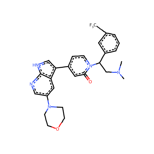 CN(C)CC(c1cccc(C(F)(F)F)c1)n1ccc(-c2c[nH]c3ncc(N4CCOCC4)cc23)cc1=O